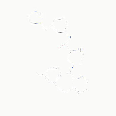 O=C(Nc1cccc(Cn2ccnc2)c1)C1CN([C@@H]2c3ccc(Cl)cc3CCc3cccnc32)CCN1